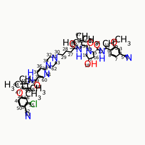 COc1cc(C#N)ccc1[C@H](C)NC(=O)[C@@H]1C[C@@H](O)CN1C(=O)[C@@H](NC(=O)CCCCN1CCN(c2ccc(C(=O)NC3C(C)(C)C(Oc4ccc(C#N)c(Cl)c4)C3(C)C)cn2)CC1)C(C)(C)C